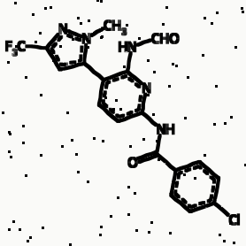 Cn1nc(C(F)(F)F)cc1-c1ccc(NC(=O)c2ccc(Cl)cc2)nc1NC=O